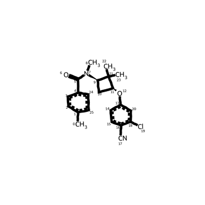 Cc1ccc(C(=O)N(C)[C@@H]2C[C@@H](Oc3ccc(C#N)c(Cl)c3)C2(C)C)cc1